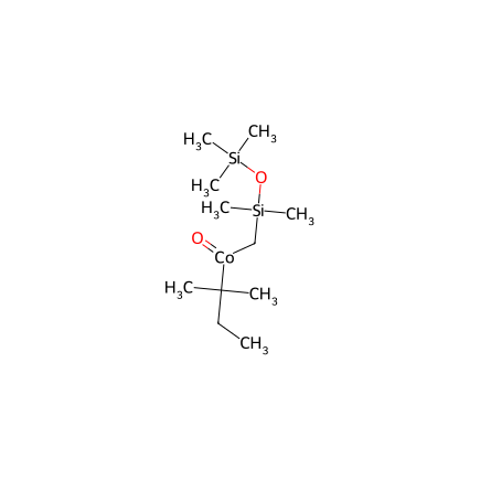 CC[C](C)(C)[Co](=[O])[CH2][Si](C)(C)O[Si](C)(C)C